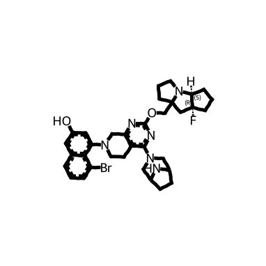 Oc1cc(N2CCc3c(nc(OCC45CCCN4[C@H]4CCC[C@@]4(F)C5)nc3N3CC4CCC(C3)N4)C2)c2c(Br)cccc2c1